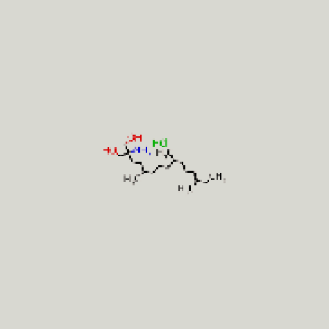 CCC(C)=CCCC(C)CCCC(C)CCC(N)(CO)CO.Cl